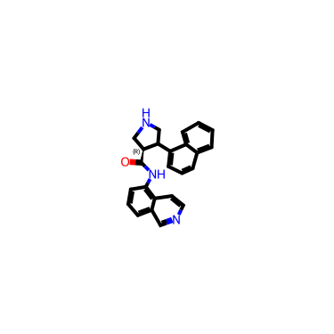 O=C(Nc1cccc2cnccc12)[C@H]1CNCC1c1cccc2ccccc12